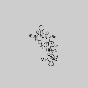 C=C[C@@H]1C[C@]1(NC(=O)[C@@H]1C[C@@]2(CN1C(=O)[C@@H](NC(=O)[C@@H](NC(=O)NC(C)(C)C)C1CCCCC1)C(C)(C)C)C(C)(C)C21CCC1)C(=O)NS(=O)(=O)c1ccccc1NC